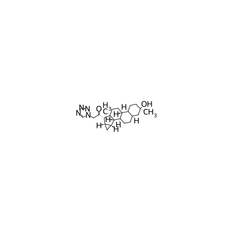 C[C@@]1(O)CC[C@H]2[C@H](CC[C@@H]3[C@@H]2CC[C@@]2(C)[C@H]3[C@@H]3C[C@@H]3[C@@H]2C(=O)Cn2cnnn2)C1